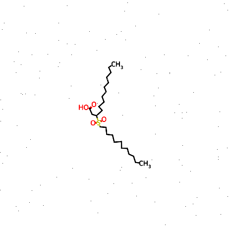 CCCCCCCCCCCCS(=O)(=O)C(CCCCCCCCCCC)CC(=O)O